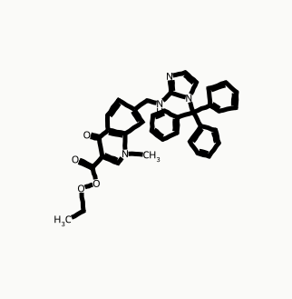 CCOOC(=O)c1cn(C)c2cc(CNc3nccn3C(c3ccccc3)(c3ccccc3)c3ccccc3)ccc2c1=O